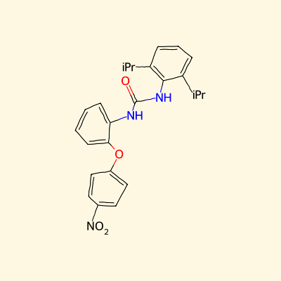 CC(C)c1cccc(C(C)C)c1NC(=O)Nc1ccccc1Oc1ccc([N+](=O)[O-])cc1